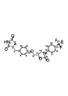 O=C1NC(=O)C(Cc2ccc(OCC3CN(c4ccc(C(F)(F)F)cc4)C(=O)O3)cc2)S1